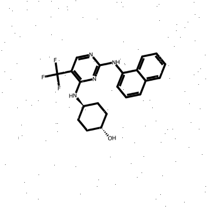 O[C@H]1CC[C@H](Nc2nc(Nc3cccc4ccccc34)ncc2C(F)(F)F)CC1